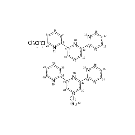 [Cl-].[Cl-].[Cl-].[Cl-].[Ru+4].c1ccc(-c2cccc(-c3ccccn3)n2)nc1.c1ccc(-c2cccc(-c3ccccn3)n2)nc1